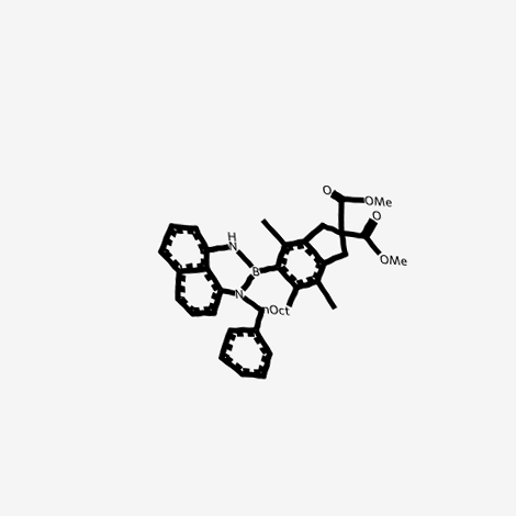 CCCCCCCCc1c(C)c2c(c(C)c1B1Nc3cccc4cccc(c34)N1Cc1ccccc1)CC(C(=O)OC)(C(=O)OC)C2